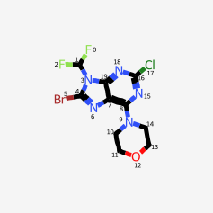 FC(F)n1c(Br)nc2c(N3CCOCC3)nc(Cl)nc21